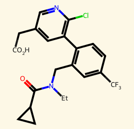 CCN(Cc1cc(C(F)(F)F)ccc1-c1cc(CC(=O)O)cnc1Cl)C(=O)C1CC1